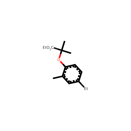 CCOC(=O)C(C)(C)Oc1ccc(CC)cc1C